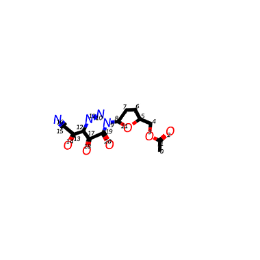 CC(=O)OCC1[CH][CH]C(N2N=NC(C(=O)C#N)C(=O)C2=O)O1